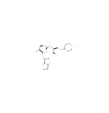 N=C/C(=C\NC1CCNCC1)Nc1ncc(Cl)c(NC2COC3CCOC23)n1